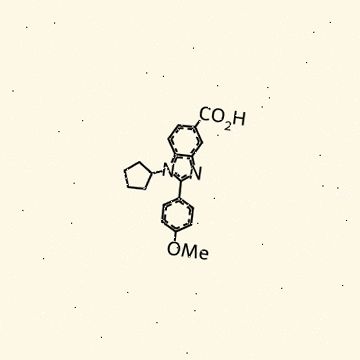 COc1ccc(-c2nc3cc(C(=O)O)ccc3n2C2CCCC2)cc1